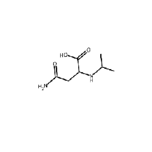 CC(C)NC(CC(N)=O)C(=O)O